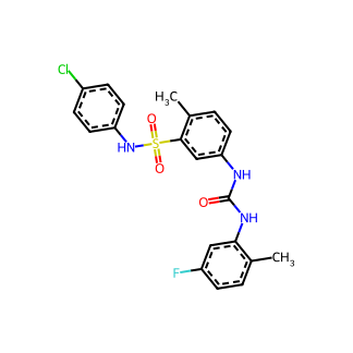 Cc1ccc(F)cc1NC(=O)Nc1ccc(C)c(S(=O)(=O)Nc2ccc(Cl)cc2)c1